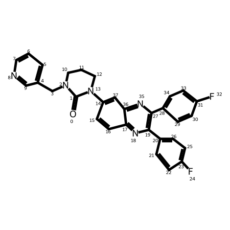 O=C1N(Cc2cccnc2)CCCN1c1ccc2nc(-c3ccc(F)cc3)c(-c3ccc(F)cc3)nc2c1